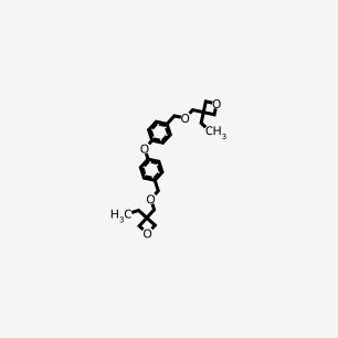 CCC1(COCc2ccc(Oc3ccc(COCC4(CC)COC4)cc3)cc2)COC1